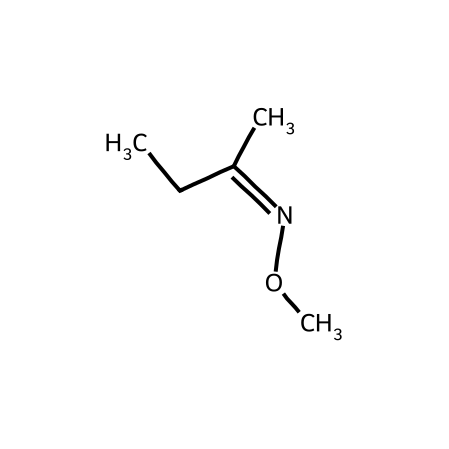 CC/C(C)=N\OC